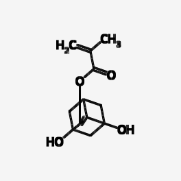 C=C(C)C(=O)OC1=C2C3CC(O)(C1)CC2(O)C3